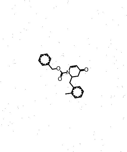 Cc1ccccc1CC1CC(=O)C=CN1C(=O)OCc1ccccc1